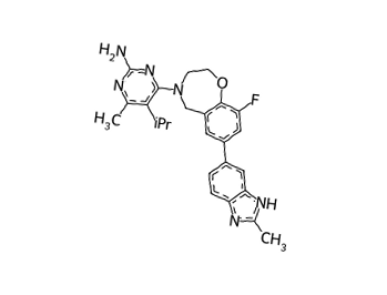 Cc1nc2ccc(-c3cc(F)c4c(c3)CN(c3nc(N)nc(C)c3C(C)C)CCO4)cc2[nH]1